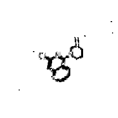 Clc1cc2ncccc2c(N2CCCNC2)n1